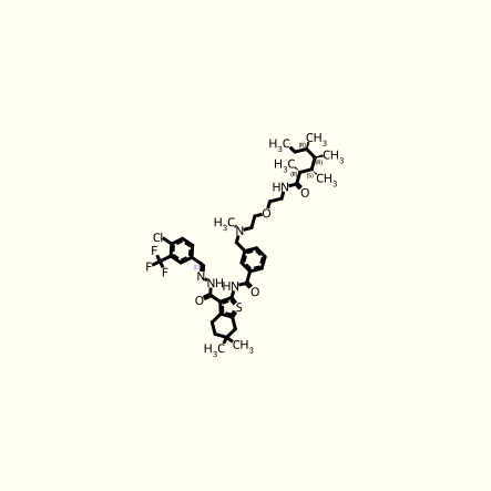 CC[C@@H](C)[C@@H](C)[C@H](C)[C@@H](C)C(=O)NCCOCCN(C)Cc1cccc(C(=O)Nc2sc3c(c2C(=O)N/N=C/c2ccc(Cl)c(C(F)(F)F)c2)CCC(C)(C)C3)c1